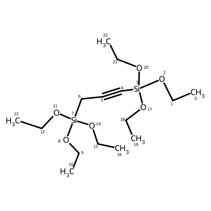 CCO[Si](C#CC[Si](OCC)(OCC)OCC)(OCC)OCC